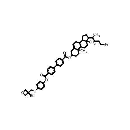 CCC1(COc2ccc(OC(=O)c3ccc(-c4ccc(C(=O)OC5CCC6(C)C(=CCC7C6CCC6(C)C(C(C)CCCC(C)C)CCC76)C5)cc4)cc3)cc2)COC1